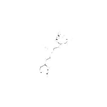 [N-]=[N+]=N[C@H](CCSSCC[C@H](CS(=O)[O-])N=[N+]=[N-])CS(=O)[O-].[Na+].[Na+]